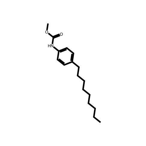 CCCCCCCCCc1ccc(NC(=O)OC)cc1